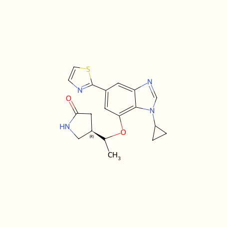 CC(Oc1cc(-c2nccs2)cc2ncn(C3CC3)c12)[C@H]1CNC(=O)C1